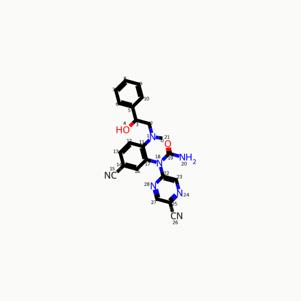 CN(CC(O)c1ccccc1)c1ccc(C#N)cc1N(C(N)=O)c1cnc(C#N)cn1